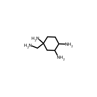 NCC1(N)CCC(N)C(N)C1